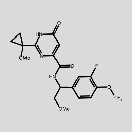 COCC(NC(=O)c1cc(=O)[nH]c(C2(OC)CC2)n1)c1ccc(OC(F)(F)F)c(F)c1